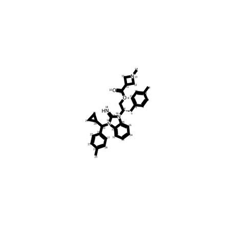 Cc1ccc(C[C@@H](COC(=O)C2CN(C)C2)n2c(=N)n(C(c3ccc(C)cc3)C3CC3)c3ccccc32)cc1